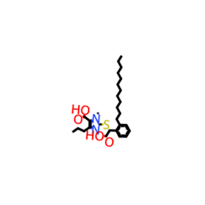 CCCCCCCCCCCCc1ccccc1[C@H](Sc1nc(CCC)c(C(=O)O)n1C)C(=O)O